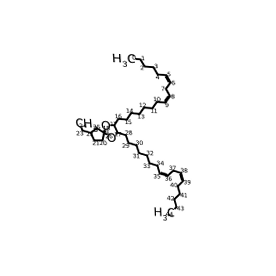 CCCCC/C=C\C/C=C\CCCCCCCC1OC2(CCC(CC)C2)OC1CCCCCCC/C=C\C/C=C\CCCCC